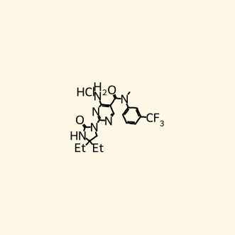 CCC1(CC)CN(c2ncc(C(=O)N(C)c3cccc(C(F)(F)F)c3)c(N)n2)C(=O)N1.Cl